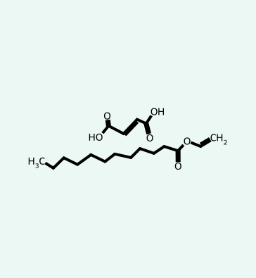 C=COC(=O)CCCCCCCCCCC.O=C(O)C=CC(=O)O